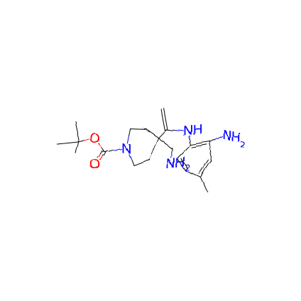 C=C(Nc1ccc(C)cc1N)C1(CN)CCN(C(=O)OC(C)(C)C)CC1